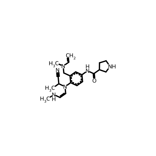 C=CN(C)Cc1cc(NC(=O)C2CCNC2)ccc1N(/C=C\NC)C(C)C#N